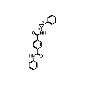 O=C(Nc1ccccc1)c1ccc(C(=O)N[C@@H]2C[C@H]2c2ccccc2)cc1